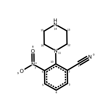 N#Cc1cccc([N+](=O)[O-])c1N1CCNCC1